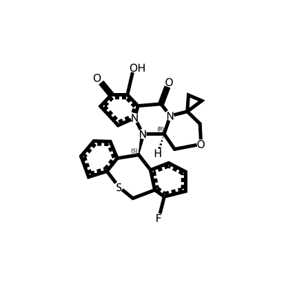 O=C1c2c(O)c(=O)ccn2N([C@@H]2c3ccccc3SCc3c(F)cccc32)[C@@H]2COCC3(CC3)N12